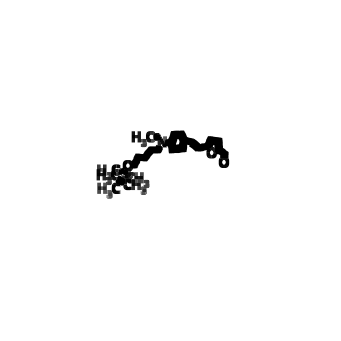 CCN(CCCCCO[Si](C)(C)C(C)(C)C)c1ccc(C=Cc2ccc(C=O)o2)cc1